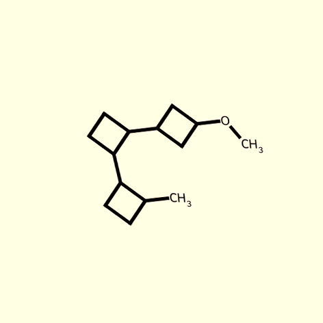 COC1CC(C2CCC2C2CCC2C)C1